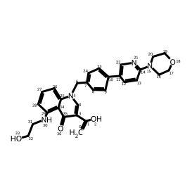 C=C(O)c1cn(Cc2ccc(-c3ccc(N4CCOCC4)nc3)cc2)c2cccc(NCCO)c2c1=O